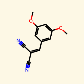 COc1cc(C=C(C#N)C#N)cc(OC)c1